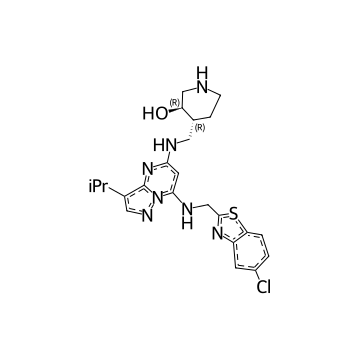 CC(C)c1cnn2c(NCc3nc4cc(Cl)ccc4s3)cc(NC[C@H]3CCNC[C@@H]3O)nc12